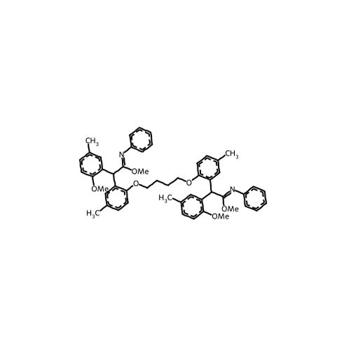 CO/C(=N\c1ccccc1)C(c1cc(C)ccc1OC)c1cc(C)ccc1OCCCCOc1ccc(C)cc1C(/C(=N/c1ccccc1)OC)c1cc(C)ccc1OC